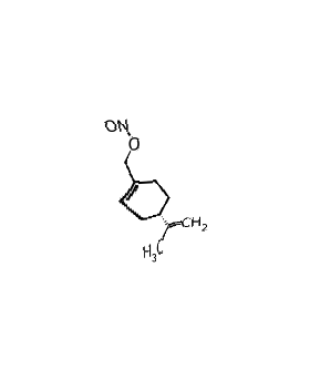 C=C(C)[C@@H]1CC=C(CON=O)CC1